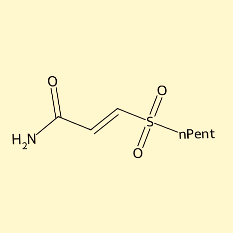 CCCCCS(=O)(=O)C=CC(N)=O